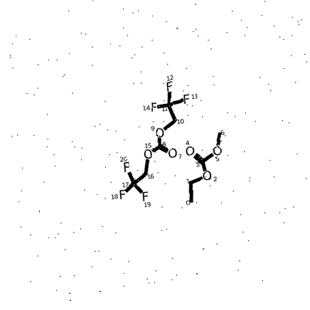 CCOC(=O)OC.O=C(OCC(F)(F)F)OCC(F)(F)F